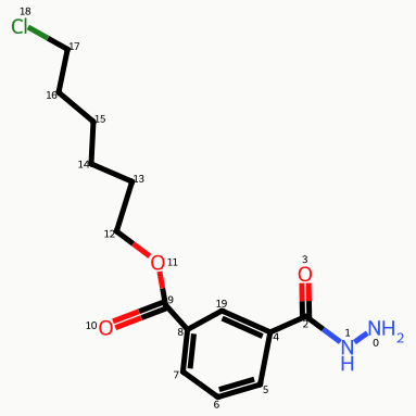 NNC(=O)c1cccc(C(=O)OCCCCCCCl)c1